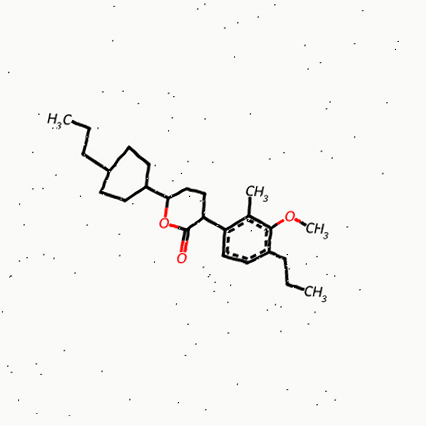 CCCc1ccc(C2CCC(C3CCC(CCC)CC3)OC2=O)c(C)c1OC